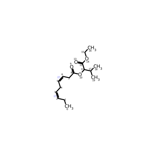 CC/C=C\C/C=C\CC(=O)OC(C(=O)OCC)C(C)C